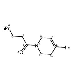 CC(C)CCC(=O)N1CC=C(I)CC1